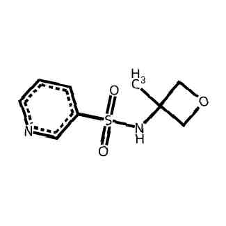 CC1(NS(=O)(=O)c2cccnc2)COC1